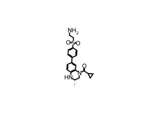 C[C@H]1CN(C(=O)C2CC2)c2cc(-c3ccc(S(=O)(=O)CCN)cc3)ccc2N1